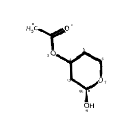 CC(=O)OC1CCO[C@@H](O)C1